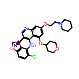 N#Cc1cnc2cc(OCCN3CCCCC3)cc(OC3CCOCC3)c2c1Nc1c(Cl)ccc2c1OCO2